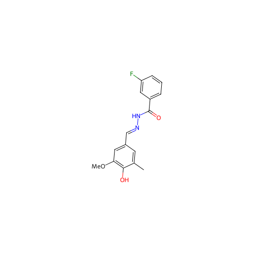 COc1cc(/C=N/NC(=O)c2cccc(F)c2)cc(C)c1O